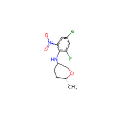 C[C@@H]1CCC(Nc2c(F)cc(Br)cc2[N+](=O)[O-])CO1